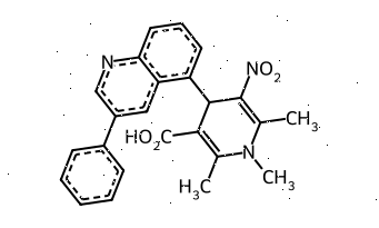 CC1=C(C(=O)O)C(c2cccc3ncc(-c4ccccc4)cc23)C([N+](=O)[O-])=C(C)N1C